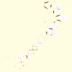 CCOC(=O)C(NC(=O)N1CC2(CC(N3CCC(c4cnc(N5CCc6[nH]c7nnc(-c8ccccc8O)cc7c6[C@H]5C)nc4)CC3)C2)C1)C1(C)CCOCC1